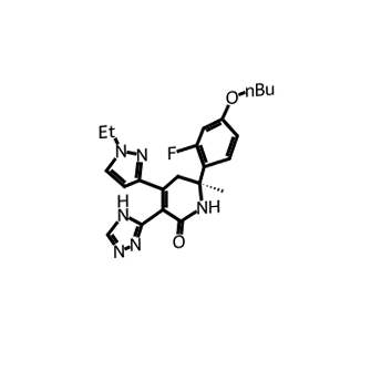 CCCCOc1ccc([C@]2(C)CC(c3ccn(CC)n3)=C(c3nnc[nH]3)C(=O)N2)c(F)c1